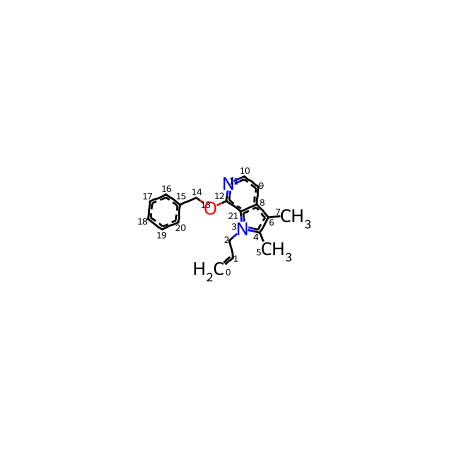 C=CCn1c(C)c(C)c2ccnc(OCc3ccccc3)c21